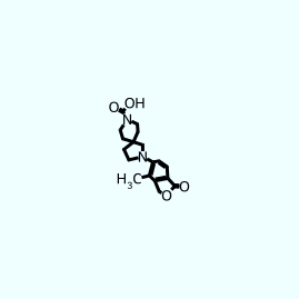 Cc1c(N2CCC3(CCN(C(=O)O)CC3)C2)ccc2c1COC2=O